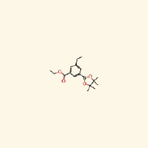 CCOC(=O)c1cc(CC)cc(B2OC(C)(C)C(C)(C)O2)c1